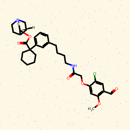 COc1cc(OCC(=O)NCCCCc2cccc(C3(C(=O)O[C@H]4CN5CCC4CC5)CCCCC3)c2)c(Cl)cc1C=O